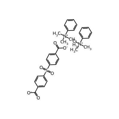 C[N+](C)(C)c1ccccc1.C[N+](C)(C)c1ccccc1.O=C([O-])c1ccc(S(=O)(=O)c2ccc(C(=O)[O-])cc2)cc1